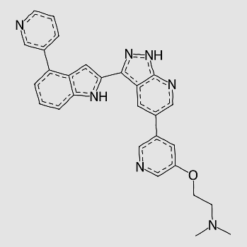 CN(C)CCOc1cncc(-c2cnc3[nH]nc(-c4cc5c(-c6cccnc6)cccc5[nH]4)c3c2)c1